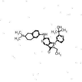 CCn1c(=O)c2cnc(Nc3ccc4c(c3)CCC(N(C)C)C4)cc2n1-c1ccnc(C(C)(C)O)c1